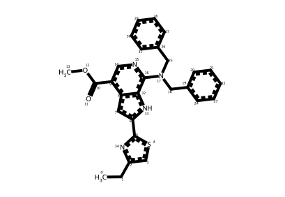 CCc1csc(-c2cc3c(C(=O)OC)cnc(N(Cc4ccccc4)Cc4ccccc4)c3[nH]2)n1